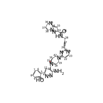 Nc1nnc(-c2ccccc2O)cc1N1CC2CC1CN(c1ccnc(C#CCNC(=O)c3cc4ncccn4n3)n1)C2